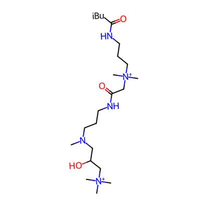 CCC(C)C(=O)NCCC[N+](C)(C)CC(=O)NCCCN(C)CC(O)C[N+](C)(C)C